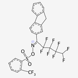 O=S(=O)(O/N=C(/c1ccc2c(c1)Cc1ccccc1-2)C(F)(F)C(F)(F)C(F)(F)C(F)F)c1ccccc1C(F)(F)F